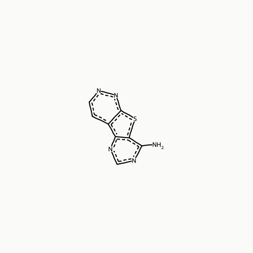 Nc1ncnc2c1sc1nnccc12